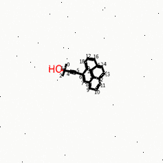 CC(C)(O)C#Cc1cc2cccc3ccc4cccc1c4c32